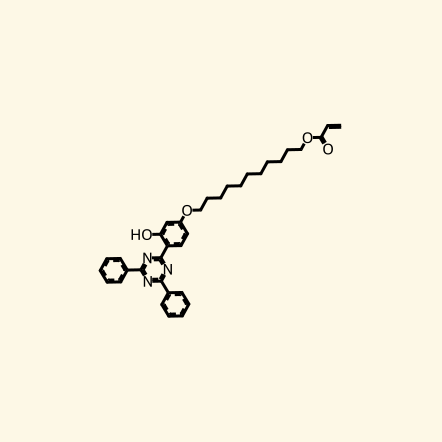 C=CC(=O)OCCCCCCCCCCCOc1ccc(-c2nc(-c3ccccc3)nc(-c3ccccc3)n2)c(O)c1